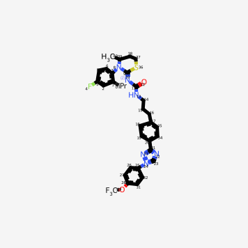 CC(C)c1cc(F)ccc1N1/C(=N/C(=O)NCCCc2ccc(-c3ncn(-c4ccc(OC(F)(F)F)cc4)n3)cc2)SCCC1C